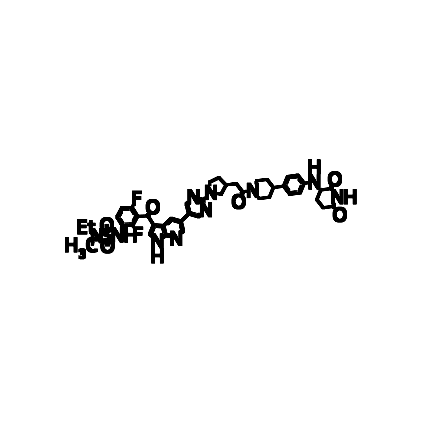 CCN(C)S(=O)(=O)Nc1ccc(F)c(C(=O)c2c[nH]c3ncc(-c4cnc(N5CC[C@@H](CC(=O)N6CCC(c7ccc(NC8CCC(=O)NC8=O)cc7)CC6)C5)nc4)cc23)c1F